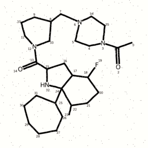 CC(=O)N1CCN(CC2CCCN(C(=O)C3CC4C(F)CCC(C)C4(C4CCCCCC4)N3)C2)CC1